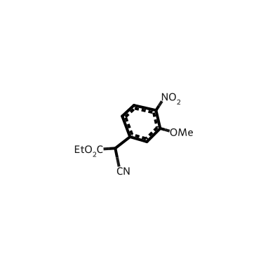 CCOC(=O)C(C#N)c1ccc([N+](=O)[O-])c(OC)c1